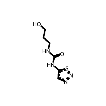 O=C(NCCCO)Nc1cnns1